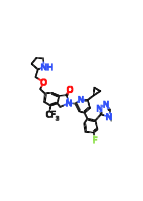 Cn1cnnc1-c1cc(F)ccc1-c1cc(C2CC2)nc(N2Cc3c(cc(COCC4CCCN4)cc3C(F)(F)F)C2=O)c1